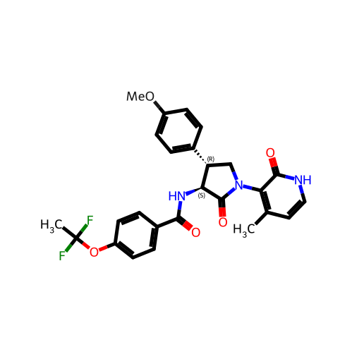 COc1ccc([C@@H]2CN(c3c(C)cc[nH]c3=O)C(=O)[C@H]2NC(=O)c2ccc(OC(C)(F)F)cc2)cc1